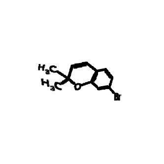 CC1(C)C=Cc2ccc(Br)cc2O1